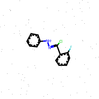 Fc1ccccc1/C(Cl)=N/Nc1ccccc1